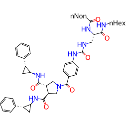 CCCCCCCCCC(=O)N[C@@H](CNC(=O)Nc1ccc(C(=O)N2C[C@@H](C(=O)N[C@H]3C[C@@H]3c3ccccc3)[C@H](C(=O)N[C@H]3C[C@@H]3c3ccccc3)C2)cc1)C(=O)NCCCCCC